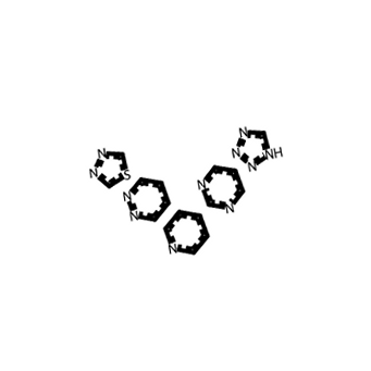 c1ccncc1.c1ccnnc1.c1cncnc1.c1nncs1.c1nnn[nH]1